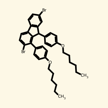 CCCCCCOc1ccc(-c2c(Br)ccc3c2C(c2ccc(OCCCCCC)cc2)c2cc(Br)ccc2-3)cc1